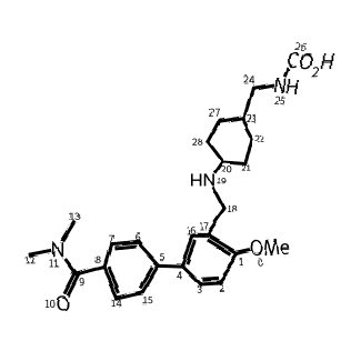 COc1ccc(-c2ccc(C(=O)N(C)C)cc2)cc1CNC1CCC(CNC(=O)O)CC1